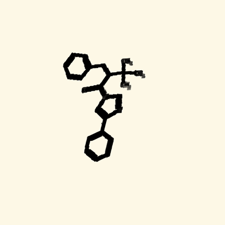 CC(C)(C)C(Cc1ccccc1)C(=O)n1cnc(-c2ccccc2)c1